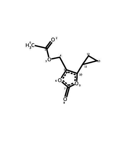 CC(=O)OCc1oc(=O)oc1C1CC1